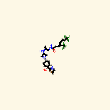 C=C(CNC(=O)C/C=C(\C=C/CC(F)(F)F)C(F)(F)F)NC1CN([C@H]2CC[C@@](O)(c3nccs3)CC2)C1